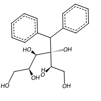 OC[C@@H](O)[C@](O)(C(c1ccccc1)c1ccccc1)[C@H](O)[C@@H](O)CO